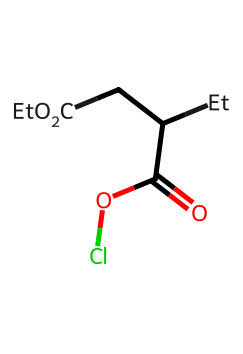 CCOC(=O)CC(CC)C(=O)OCl